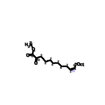 CCCCCCCC/C=C\CCCCCCCC(=O)C(=O)ON